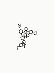 COc1cc(Cl)ccc1C(=O)Nc1cc(C#N)ccc1N1CCC(Oc2ccc(F)cc2F)CC1